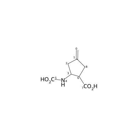 C=C1CC(NC(=O)O)C(C(=O)O)C1